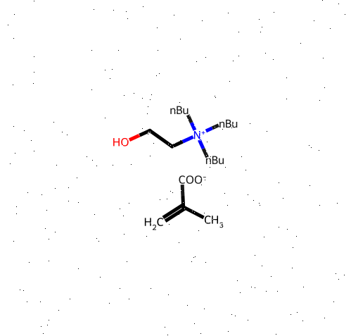 C=C(C)C(=O)[O-].CCCC[N+](CCO)(CCCC)CCCC